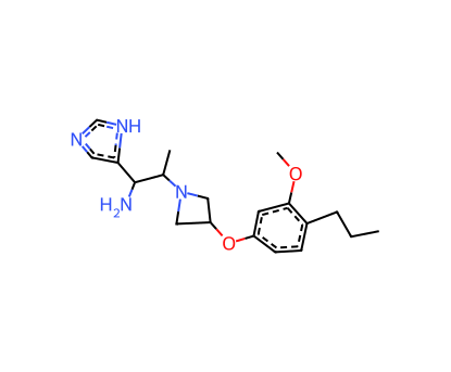 CCCc1ccc(OC2CN(C(C)C(N)c3cnc[nH]3)C2)cc1OC